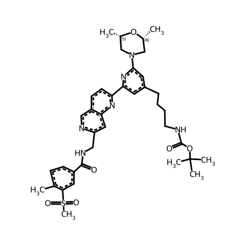 Cc1ccc(C(=O)NCc2cc3nc(-c4cc(CCCCNC(=O)OC(C)(C)C)cc(N5C[C@@H](C)O[C@@H](C)C5)n4)ccc3cn2)cc1S(C)(=O)=O